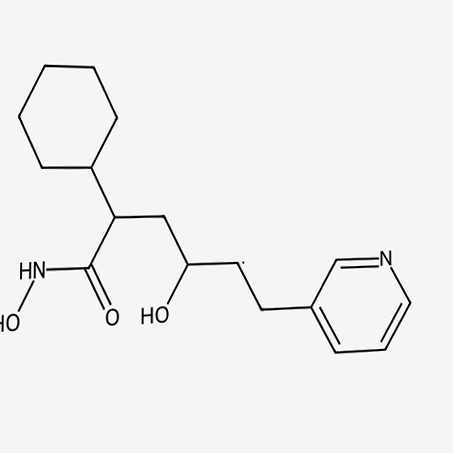 O=C(NO)C(CC(O)[CH]Cc1cccnc1)C1CCCCC1